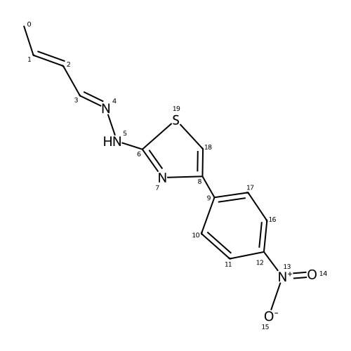 C/C=C/C=N/Nc1nc(-c2ccc([N+](=O)[O-])cc2)cs1